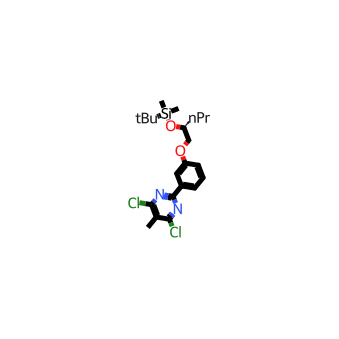 CCC[C@H](COc1cccc(-c2nc(Cl)c(C)c(Cl)n2)c1)O[Si](C)(C)C(C)(C)C